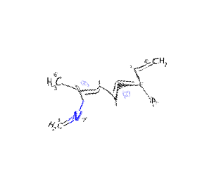 C=C/C(=C\C=C(\C)N=C)C(C)C